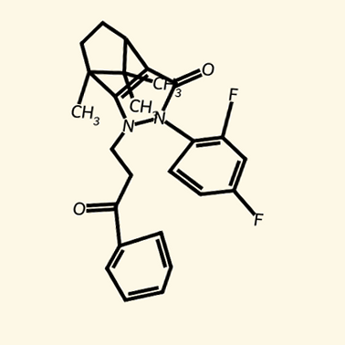 CC12CCC(c3c1n(CCC(=O)c1ccccc1)n(-c1ccc(F)cc1F)c3=O)C2(C)C